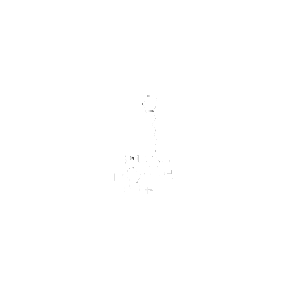 OC[C@H]1O[C@H](O[C@H]2[C@H](O)[C@@H](O)[C@H](OCCCCCCC3CCCCC3)O[C@@H]2CO)[C@H](O)[C@@H](O)[C@@H]1O